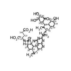 CN(Cc1cnc2nc(N)nc(N)c2n1)c1ccc(C(=O)N[C@@H](CCC(=O)O)C(=O)O)cc1.C[C@H](Cc1ccc(O)c(O)c1)[C@@H](C)Cc1ccc(O)c(O)c1